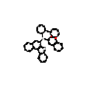 c1ccc(-c2ccccc2N(c2ccc3ccccc3c2)c2cc3ccccc3c3c2sc2ccccc23)cc1